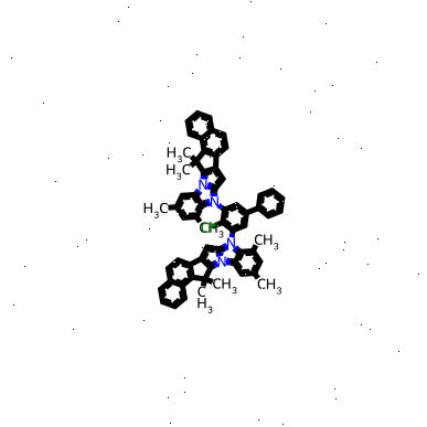 Cc1cc(C)c2c(c1)n1c3c(cc1n2-c1cc(-c2ccccc2)cc(-n2c4c(C)cc(C)cc4n4c5c(cc24)-c2ccc4ccccc4c2C5(C)C)c1Cl)-c1ccc2ccccc2c1C3(C)C